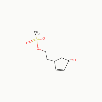 CS(=O)(=O)OCCC1C=CC(=O)C1